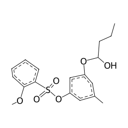 CCCC(O)Oc1cc(C)cc(OS(=O)(=O)c2ccccc2OC)c1